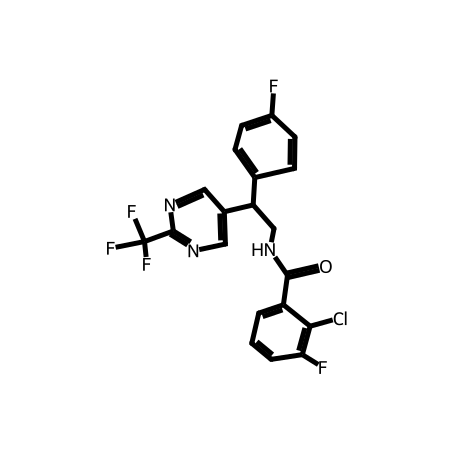 O=C(NCC(c1ccc(F)cc1)c1cnc(C(F)(F)F)nc1)c1cccc(F)c1Cl